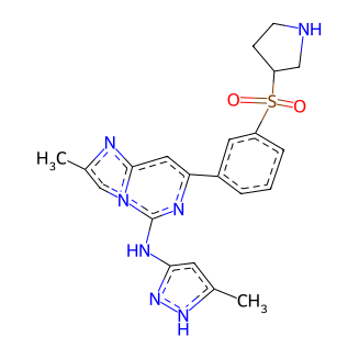 Cc1cn2c(Nc3cc(C)[nH]n3)nc(-c3cccc(S(=O)(=O)C4CCNC4)c3)cc2n1